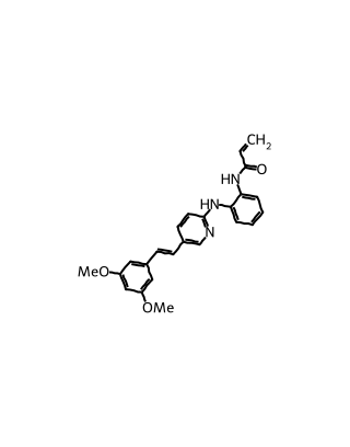 C=CC(=O)Nc1ccccc1Nc1ccc(C=Cc2cc(OC)cc(OC)c2)cn1